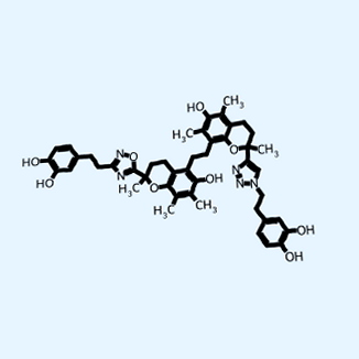 Cc1c(C)c2c(c(CCc3c(C)c(O)c(C)c4c3OC(C)(c3cn(CCc5ccc(O)c(O)c5)nn3)CC4)c1O)CCC(C)(c1nc(CCc3ccc(O)c(O)c3)no1)O2